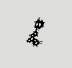 c1ccc2c(-c3ccc4c(c3)[nH]c3c5ccccc5c5c6ccccc6sc5c43)cccc2c1